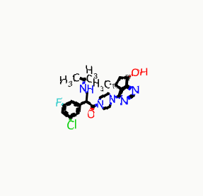 CC(C)NCC(C(=O)N1CCN(c2ncnc3c2[C@H](C)C[C@H]3O)CC1)c1cc(F)cc(Cl)c1